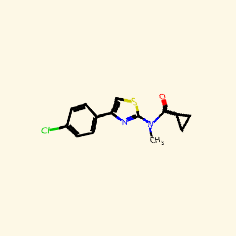 CN(C(=O)C1CC1)c1nc(-c2ccc(Cl)cc2)cs1